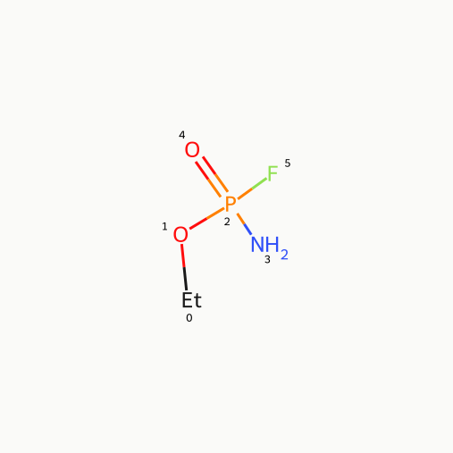 CCOP(N)(=O)F